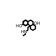 CCNCCC12CCCCC1(O)CCc1ccc(O)cc12